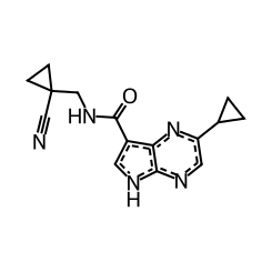 N#CC1(CNC(=O)c2c[nH]c3ncc(C4CC4)nc23)CC1